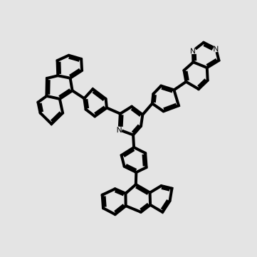 c1ccc2c(-c3ccc(-c4cc(-c5ccc(-c6ccc7cncnc7c6)cc5)cc(-c5ccc(-c6c7ccccc7cc7ccccc67)cc5)n4)cc3)c3ccccc3cc2c1